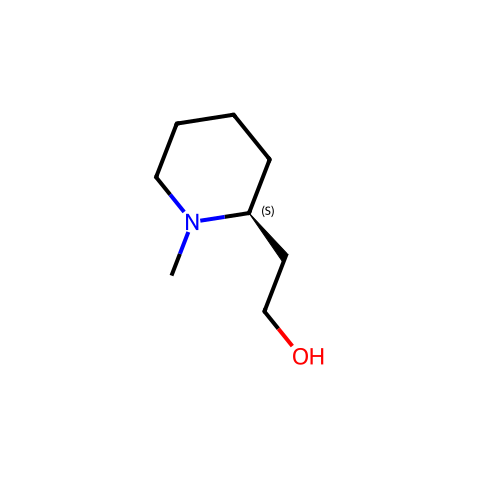 CN1CCCC[C@H]1CCO